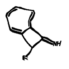 N=C1c2ccccc2C1F